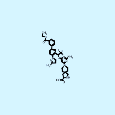 CCOC(=O)c1cccc(-c2ccc(-n3ccc(C)n3)c(C(Oc3cc(N4CCC5(CC4)CNC(C(=O)O)C5)nc(N)n3)C(F)(F)F)c2)c1